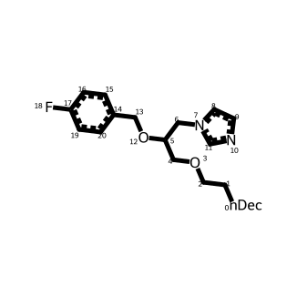 CCCCCCCCCCCCOCC(Cn1ccnc1)OCc1ccc(F)cc1